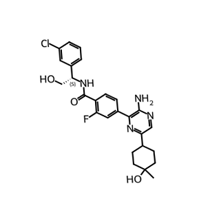 CC1(O)CCC(c2cnc(N)c(-c3ccc(C(=O)N[C@H](CO)c4cccc(Cl)c4)c(F)c3)n2)CC1